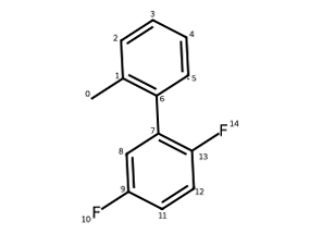 Cc1ccc[c]c1-c1cc(F)ccc1F